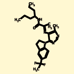 CCCC(CCC)NC(=O)/C(C)=N/c1c(C)ncnc1N1CCc2cc(C(C)(F)F)ccc21